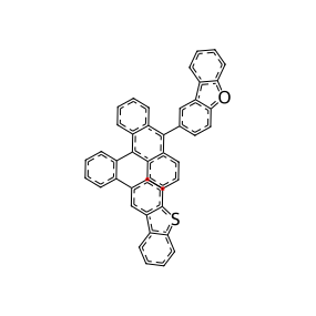 c1ccc(-c2c3ccccc3c(-c3ccc4oc5ccccc5c4c3)c3ccccc23)c(-c2ccc3sc4ccccc4c3c2)c1